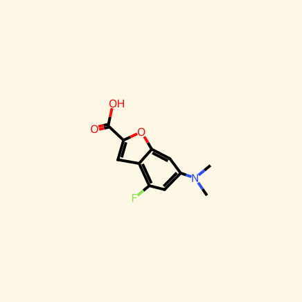 CN(C)c1cc(F)c2cc(C(=O)O)oc2c1